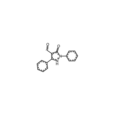 O=[C]c1c(-c2ccccc2)[nH]n(-c2ccccc2)c1=O